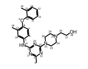 Cc1nc(Nc2ccc(Oc3ccccc3C)c(C)c2)nc(N2CCN(CCO)CC2)n1